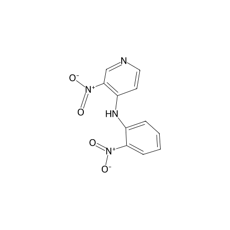 O=[N+]([O-])c1ccccc1Nc1ccncc1[N+](=O)[O-]